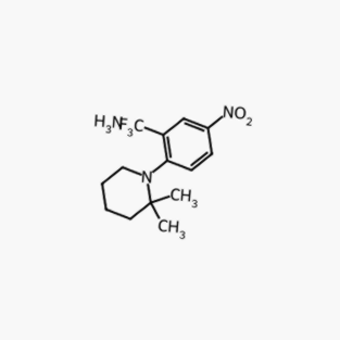 CC1(C)CCCCN1c1ccc([N+](=O)[O-])cc1C(F)(F)F.N